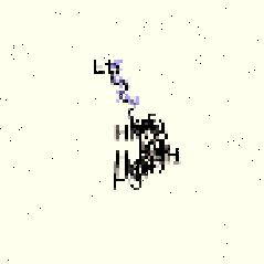 CC/C=C\C/C=C\C/C=C\C/C=C\C/C=C\C/C=C\CCC(=O)NCCSSC(C)(C)[C@H](NC(=O)C1(c2ccc3c(c2)OC(F)(F)O3)CC1)C(=O)NC[C@@H](O)CO